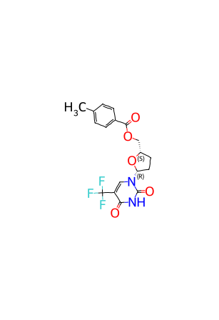 Cc1ccc(C(=O)OC[C@@H]2CC[C@H](n3cc(C(F)(F)F)c(=O)[nH]c3=O)O2)cc1